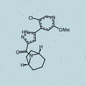 COc1cc(-c2cc(C(=O)N3[C@@H]4CCC[C@H]3CC4)n[nH]2)c(Cl)cn1